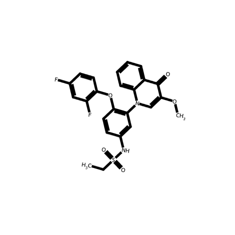 CCS(=O)(=O)Nc1ccc(Oc2ccc(F)cc2F)c(-n2cc(OC)c(=O)c3ccccc32)c1